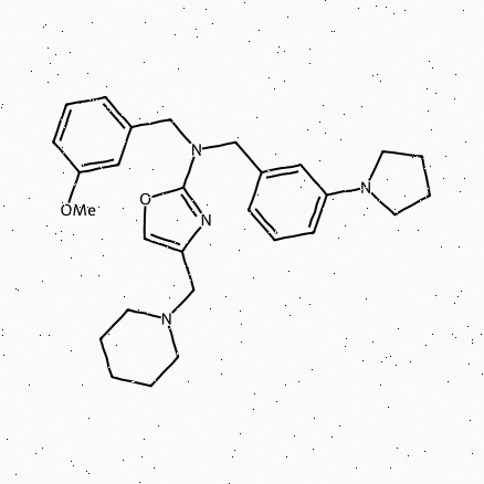 COc1cccc(CN(Cc2cccc(N3CCCC3)c2)c2nc(CN3CCCCC3)co2)c1